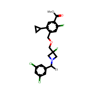 CCC(c1cc(Cl)cc(Cl)c1)N1CC(F)(COCc2cc(F)c(C(=O)OC)cc2C2CC2)C1